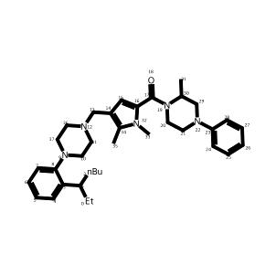 [CH2]CC(CCCC)c1ccccc1N1CCN(Cc2cc(C(=O)N3CCN(c4ccccc4)CC3C)n(C)c2C)CC1